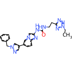 CCn1nnc(CCNC(=O)Nc2cn3cc(-c4cnn(Cc5ccccc5)c4)ccc3n2)n1